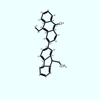 CCC1c2ccccc2-c2ccc(-c3ccc4c(Cl)c5ccccc5c(CI)c4c3)cc21